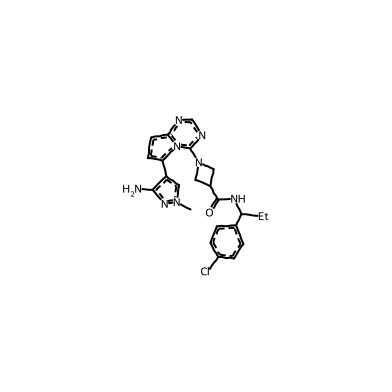 CCC(NC(=O)C1CN(c2ncnc3ccc(-c4cn(C)nc4N)n23)C1)c1ccc(Cl)cc1